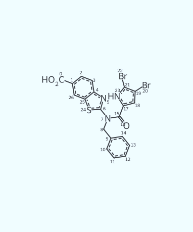 O=C(O)c1ccc2nc(N(Cc3ccccc3)C(=O)c3cc(Br)c(Br)[nH]3)sc2c1